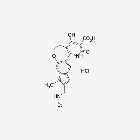 CCNCc1cc2cc3c(cc2n1C)OCCc1c-3[nH]c(=O)c(C(=O)O)c1O.Cl